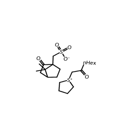 CC1(C)C2CCC1(CS(=O)(=O)[O-])C(=O)C2.CCCCCCC(=O)C[S+]1CCCC1